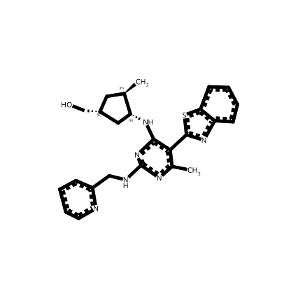 Cc1nc(NCc2ccccn2)nc(N[C@@H]2C[C@H](CO)C[C@H]2C)c1-c1nc2ccccc2s1